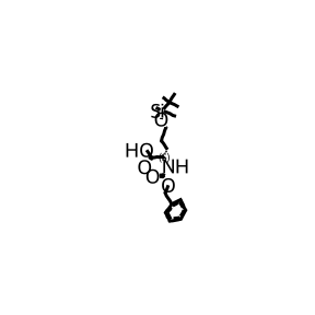 CC(C)(C)[Si](C)(C)OCCC[C@H](NC(=O)OCc1ccccc1)C(=O)O